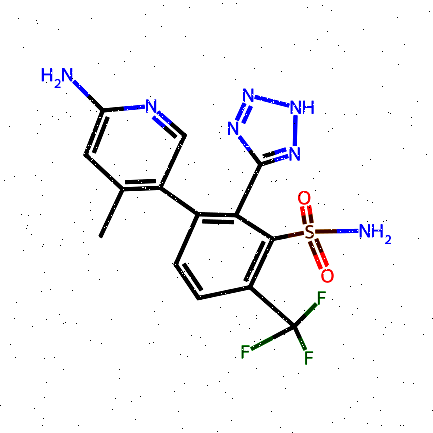 Cc1cc(N)ncc1-c1ccc(C(F)(F)F)c(S(N)(=O)=O)c1-c1nn[nH]n1